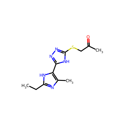 CCc1nc(C)c(-c2nnc(SCC(C)=O)[nH]2)[nH]1